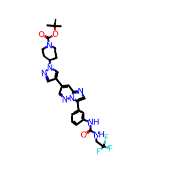 CC(C)(C)OC(=O)N1CCC(n2cc(-c3cnn4c(-c5cccc(NC(=O)NCC(F)(F)F)c5)cnc4c3)cn2)CC1